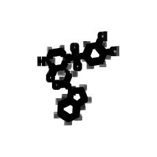 O=C1NC=CN(S(=O)(=O)c2ccc(Cl)c(Cl)c2)[C@@H]1CC(=O)N1CCc2ccccc21